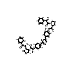 O=C(C(=O)N1CCC[C@H]1C(=O)Nc1ccc(-c2cnc(-c3ccc(NC(=O)[C@@H]4CCCN4C(=O)C(=O)c4ccccc4)cc3)o2)cc1)c1ccccc1